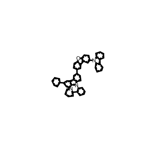 c1ccc(-c2ccc3c(c2)c2cc(-c4ccc5oc6ccc(-n7c8ccccc8c8ccccc87)cc6c5c4)ccc2n3-c2ccccc2-c2ccccn2)cc1